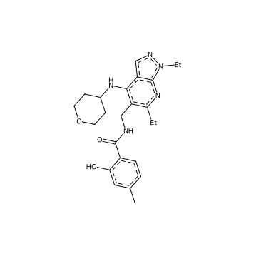 CCc1nc2c(cnn2CC)c(NC2CCOCC2)c1CNC(=O)c1ccc(C)cc1O